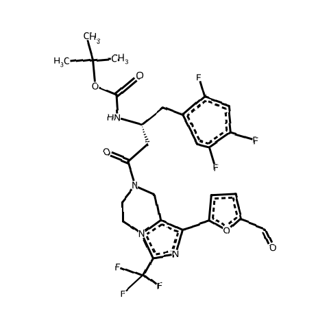 CC(C)(C)OC(=O)N[C@@H](CC(=O)N1CCn2c(C(F)(F)F)nc(-c3ccc(C=O)o3)c2C1)Cc1cc(F)c(F)cc1F